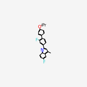 Cc1cc(-c2ccc(-c3ccc(OC(C)C)cc3)c(F)c2)nc2ccc(F)cc12